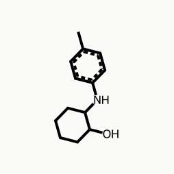 Cc1ccc(NC2CCCCC2O)cc1